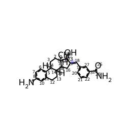 C[C@]12CC[C@@H]3c4ccc(N)cc4CC[C@H]3[C@@H]1C/C(=C\c1cccc(C(N)=O)c1)[C@@H]2O